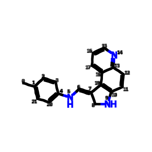 Cc1ccc(NC=C2CNc3ccc4ncccc4c32)cc1